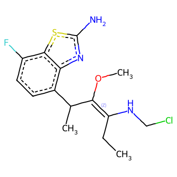 CC/C(NCCl)=C(/OC)C(C)c1ccc(F)c2sc(N)nc12